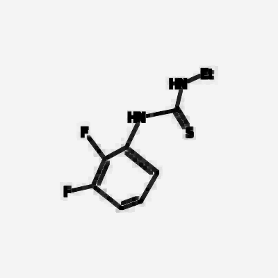 CCNC(=S)Nc1cccc(F)c1F